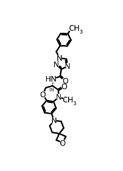 Cc1ccc(Cn2cnc(C(=O)N[C@H]3COc4ccc(N5CCC6(CC5)COC6)cc4N(C)C3=O)n2)cc1